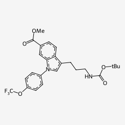 COC(=O)c1ccc2c(CCCNC(=O)OC(C)(C)C)cn(-c3ccc(OC(F)(F)F)cc3)c2c1